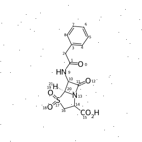 O=C(Cc1ccccc1)NC1C(=O)N2C(C(=O)O)CS(=O)(=O)[C@@H]12